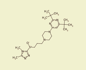 Cc1nnc([S+]([O-])CCCN2CCN(c3cc(C(C)(C)C)nc(C(C)(C)C)n3)CC2)n1C